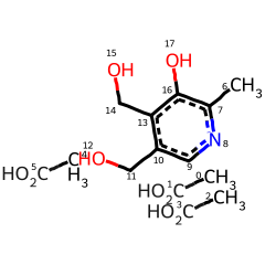 CC(=O)O.CC(=O)O.CC(=O)O.Cc1ncc(CO)c(CO)c1O